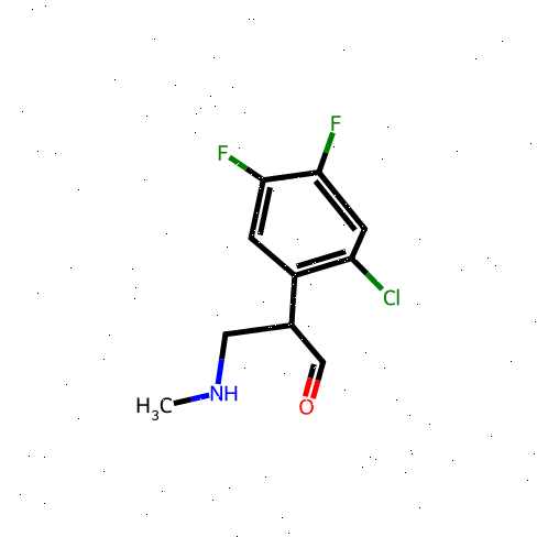 CNCC(C=O)c1cc(F)c(F)cc1Cl